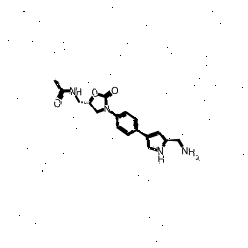 CC(=O)NC[C@H]1CN(c2ccc(C3=C[C@@H](CN)NC3)cc2)C(=O)O1